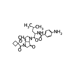 COC1(C(=O)N2CC(=O)C3C2CCN3C(=O)C(CC(C)C)NC(=O)c2ccc(N)cc2)CCC1